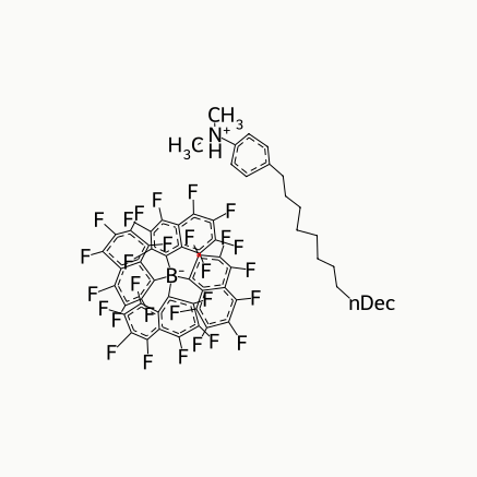 CCCCCCCCCCCCCCCCCCc1ccc([NH+](C)C)cc1.Fc1c(F)c(F)c2c([B-](c3c(F)c(F)c(F)c4c(F)c(F)c(F)c(F)c34)(c3c(F)c(F)c(F)c4c(F)c(F)c(F)c(F)c34)c3c(F)c(F)c(F)c4c(F)c(F)c(F)c(F)c34)c(F)c(F)c(F)c2c1F